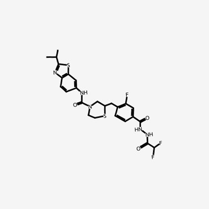 CC(C)c1nc2ccc(NC(=O)N3CCSC(Cc4ccc(C(=O)NNC(=O)C(F)F)cc4F)C3)cc2s1